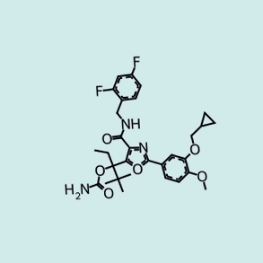 CCC(OC(N)=O)(c1oc(-c2ccc(OC)c(OCC3CC3)c2)nc1C(=O)NCc1ccc(F)cc1F)C(C)(C)C